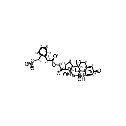 C[C@]12C=CC(=O)C=C1CC[C@@H]1[C@@H]2[C@@H](O)C[C@@]2(C)[C@H]1CC[C@]2(O)C(=O)COC(=O)Cc1ccccc1CO[N+](=O)[O-]